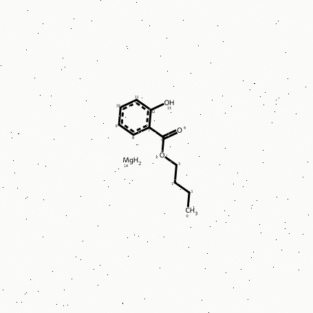 CCCCOC(=O)c1ccccc1O.[MgH2]